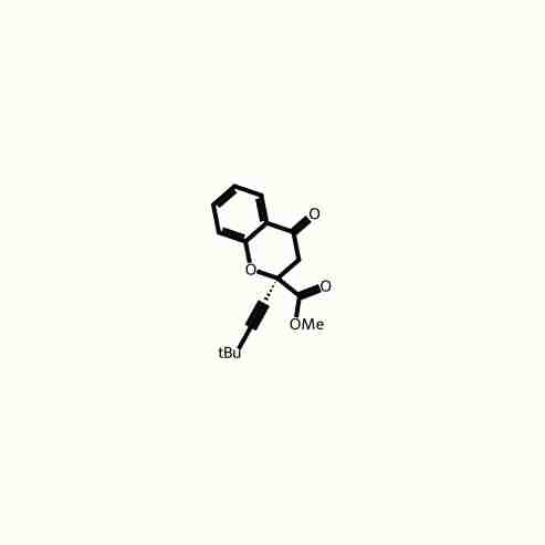 COC(=O)[C@]1(C#CC(C)(C)C)CC(=O)c2ccccc2O1